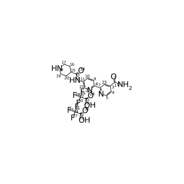 NC(=O)c1ccnc(-c2ccc(NC(=O)C3CCNCC3)cn2)c1.O=C(O)C(F)(F)F.O=C(O)C(F)(F)F